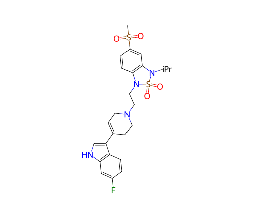 CC(C)N1c2cc(S(C)(=O)=O)ccc2N(CCN2CC=C(c3c[nH]c4cc(F)ccc34)CC2)S1(=O)=O